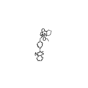 CCOP(=O)(Cc1ccc(-c2nc3ccccc3s2)cc1)N1CCCCC1=O